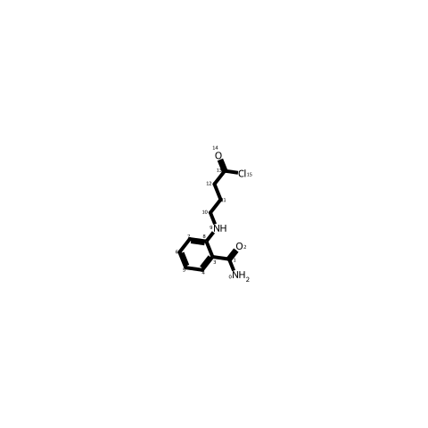 NC(=O)c1ccccc1NCCCC(=O)Cl